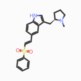 CN1CCC[C@@H]1Cc1c[nH]c2ccc(/C=C/S(=O)(=O)c3ccccc3)cc12